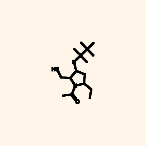 CCC1CC(O[Si](C)(C)C(C)(C)C)C(CO)N1C(C)=O